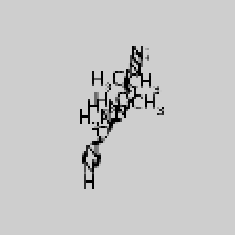 CC(C)(CN=[N+]=[N-])COC(C)(C)CN(N)/C=C(\N)COCCN1CCNCC1